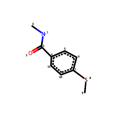 C[N]C(=O)c1ccc(SC)cc1